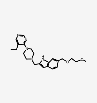 CCc1cncnc1N1CCN(Cc2cc3ccc(COCCOC)cc3[nH]2)CC1